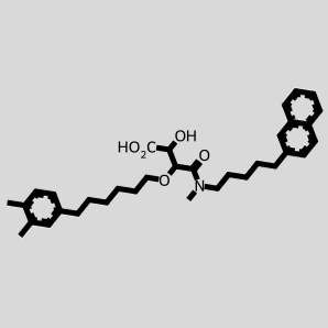 Cc1ccc(CCCCCCOC(C(=O)N(C)CCCCCc2ccc3ccccc3c2)C(O)C(=O)O)cc1C